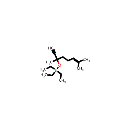 C#CC(C)(CCC=C(C)C)O[Si](CC)(CC)CC